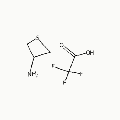 NC1CSC1.O=C(O)C(F)(F)F